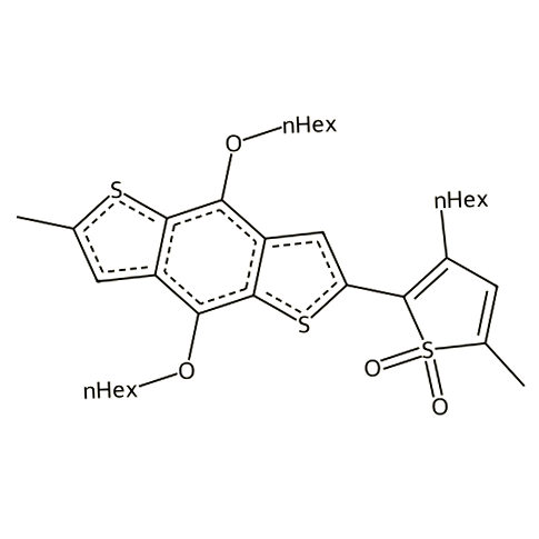 CCCCCCOc1c2cc(C3=C(CCCCCC)C=C(C)S3(=O)=O)sc2c(OCCCCCC)c2cc(C)sc12